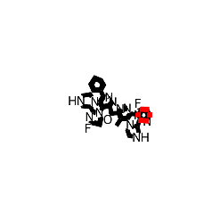 Cc1c(C(=O)c2nnc(-c3ccccc3)c(N3CCNCC3c3nccc(F)n3)c2C)nnc(-c2ccccc2)c1N1CCNCC1c1nccc(F)n1